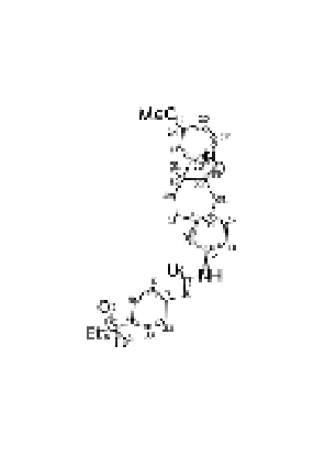 CCS(=O)(=O)c1ccc(CC(=O)Nc2ccc3c(n2)CCC(C)(c2cc(OC)ccn2)C(=O)C3)cc1